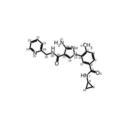 Cc1ccc(C(=O)NC2CC2)cc1-n1cc(C(=O)NCc2ccccn2)c(N)n1